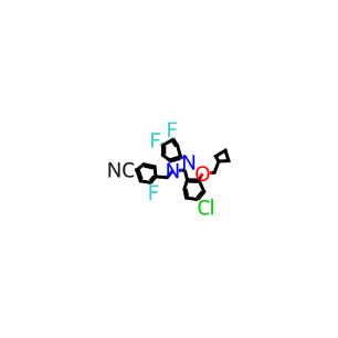 N#Cc1ccc(Cn2c(-c3ccc(Cl)cc3OCC3CCC3)nc3cc(F)c(F)cc32)c(F)c1